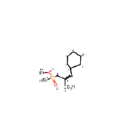 CCCCP(=O)(CC(=CC1CCCCC1)C(=O)O)OCC